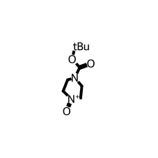 CC(C)(C)OC(=O)N1CC[N+](=O)CC1